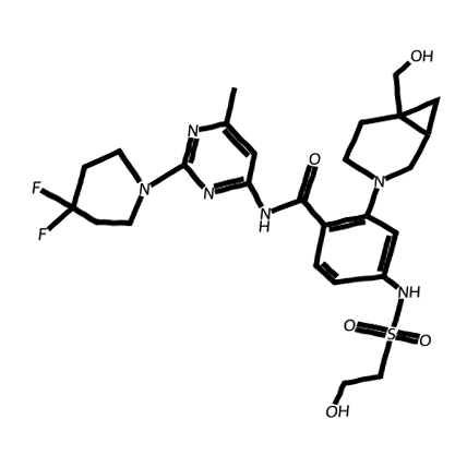 Cc1cc(NC(=O)c2ccc(NS(=O)(=O)CCO)cc2N2CCC3(CO)CC3C2)nc(N2CCC(F)(F)CC2)n1